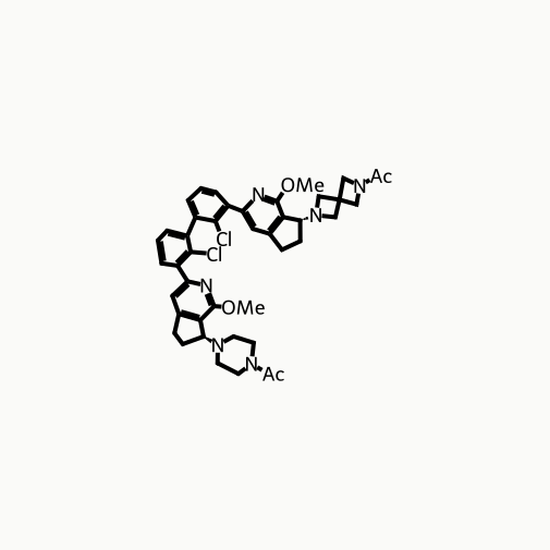 COc1nc(-c2cccc(-c3cccc(-c4cc5c(c(OC)n4)[C@@H](N4CCN(C(C)=O)CC4)CC5)c3Cl)c2Cl)cc2c1[C@H](N1CC3(CN(C(C)=O)C3)C1)CC2